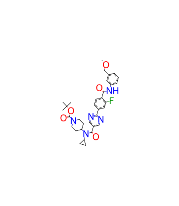 COCc1cccc(NC(=O)c2ccc(-c3ncc(C(=O)N(C4CC4)C4CCN(C(=O)OC(C)(C)C)CC4)cn3)cc2F)c1